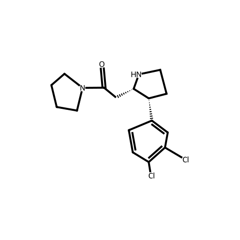 O=C(C[C@@H]1NCC[C@@H]1c1ccc(Cl)c(Cl)c1)N1CCCC1